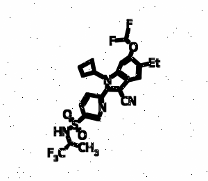 CCc1cc2c(C#N)c(-c3ccc(S(=O)(=O)N[C@@H](C)C(F)(F)F)cn3)n(C3CCC3)c2cc1OC(F)F